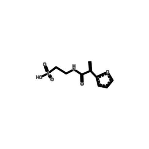 C=C(C(=O)NCCS(=O)(=O)O)c1ccco1